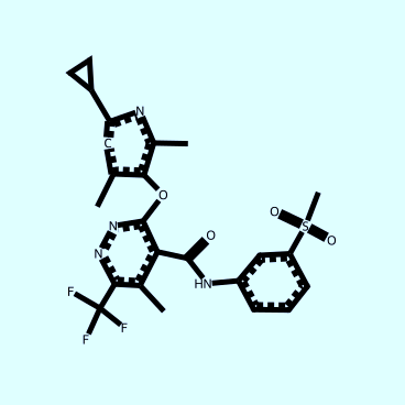 Cc1cc(C2CC2)nc(C)c1Oc1nnc(C(F)(F)F)c(C)c1C(=O)Nc1cccc(S(C)(=O)=O)c1